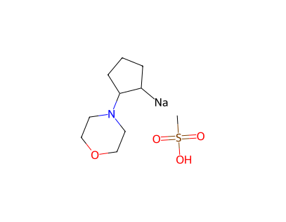 CS(=O)(=O)O.[Na][CH]1CCCC1N1CCOCC1